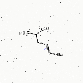 CCCC/C=C/CC(C(=O)O)C(=O)O